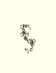 C=CCON1C(=O)N2CC(n3ccc(C(=O)NOCC(N)=O)n3)=CC1C2